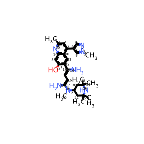 Cc1cc(-c2cnn(C)c2)c2cc(/C(N)=C/C=C(\N)N(C)C3CC(C)(C)NC(C)(C)C3)c(O)cc2n1